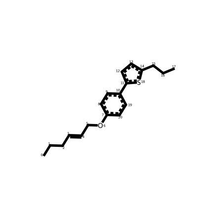 CCCC=CCOc1ccc(-c2ccc(CCC)s2)cc1